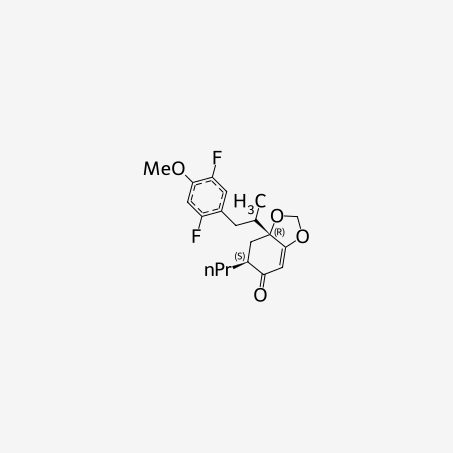 CCC[C@H]1C[C@]2(C(C)Cc3cc(F)c(OC)cc3F)OCOC2=CC1=O